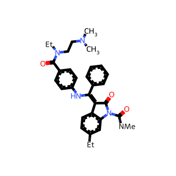 CCc1ccc2c(c1)N(C(=O)NC)C(=O)C2=C(Nc1ccc(C(=O)N(CC)CCN(C)C)cc1)c1ccccc1